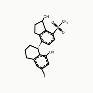 N#Cc1cc(F)cc2c1[C@@H](c1ccc(S(=O)(=O)C(F)(F)F)c3c1CC[C@H]3O)CCC2